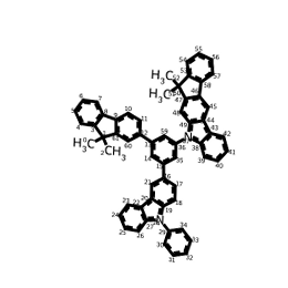 CC1(C)c2ccccc2-c2ccc(-c3cc(-c4ccc5c(c4)c4ccccc4n5-c4ccccc4)cc(-n4c5ccccc5c5cc6c(cc54)C(C)(C)c4ccccc4-6)c3)cc21